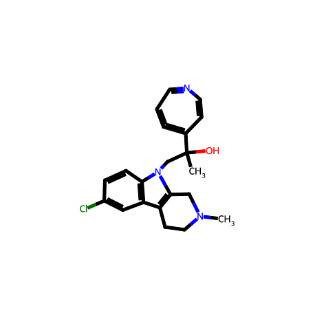 CN1CCc2c(n(CC(C)(O)C3=C=CC=NC=C3)c3ccc(Cl)cc23)C1